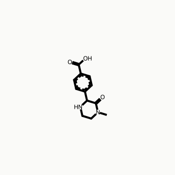 CN1CCNC(c2ccc(C(=O)O)cc2)C1=O